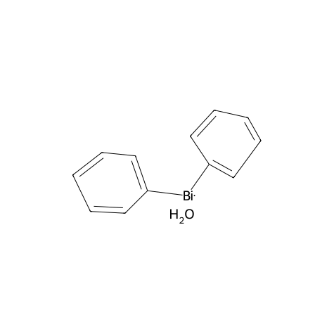 O.c1cc[c]([Bi][c]2ccccc2)cc1